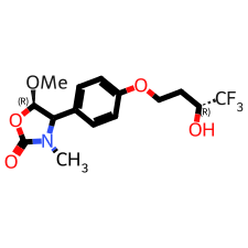 CO[C@@H]1OC(=O)N(C)C1c1ccc(OCC[C@@H](O)C(F)(F)F)cc1